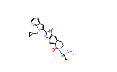 Cn1c(-c2cc3cccnc3n2CC2CC2)nc2cc3c(cc21)CCN(C[C@H](N)CF)C3=O